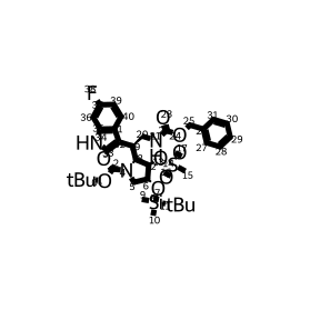 CC(C)(C)OC(=O)N1C[C@@H](O[Si](C)(C)C(C)(C)C)[C@H](OS(C)(=O)=O)[C@H]1[C@H](CNC(=O)OCc1ccccc1)c1c[nH]c2cc(F)ccc12